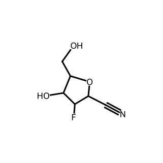 N#CC1OC(CO)C(O)C1F